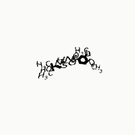 CCC(O)(CC)c1csc(NS(=O)(=O)c2ccc(OC)c(OC)c2)n1